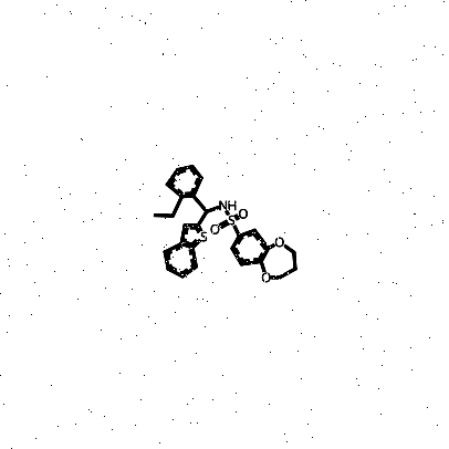 CCc1ccccc1C(NS(=O)(=O)c1ccc2c(c1)OCCCO2)c1cc2ccccc2s1